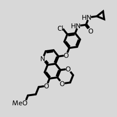 COCCCOc1cc2nccc(Oc3ccc(NC(=O)NC4CC4)c(Cl)c3)c2c2c1OCCO2